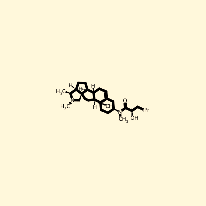 CC(C)C[C@@H](O)C(=O)N(C)[C@H]1CC[C@@]2(C)C(=CC[C@H]3[C@@H]4CC[C@@H]5[C@H](C)N(C)C[C@@]54CC[C@@H]32)C1